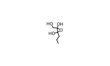 CCCC1(O)OC1(O)CO